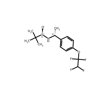 C[C@@H](N[S@+]([O-])C(C)(C)C)c1ccc(OC(F)(F)C(F)F)cc1